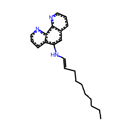 CCCCCCCCC=CNc1cc2cccnc2c2ncccc12